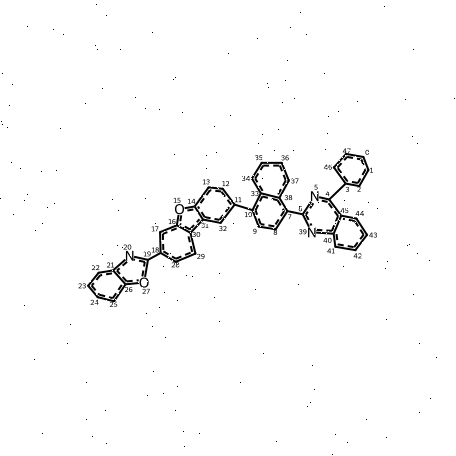 c1ccc(-c2nc(-c3ccc(-c4ccc5oc6cc(-c7nc8ccccc8o7)ccc6c5c4)c4ccccc34)nc3ccccc23)cc1